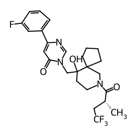 C[C@H](CC(F)(F)F)C(=O)N1CCC(O)(Cn2cnc(-c3cccc(F)c3)cc2=O)C2(CCCC2)C1